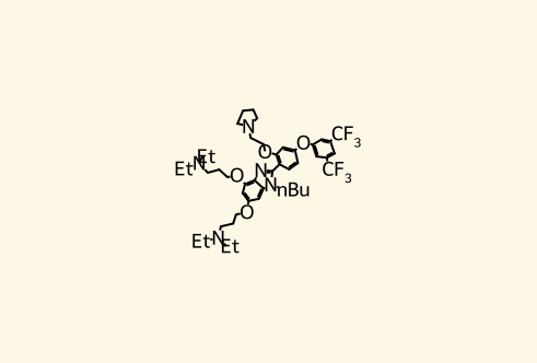 CCCCn1c(-c2ccc(Oc3cc(C(F)(F)F)cc(C(F)(F)F)c3)cc2OCCN2CCCC2)nc2c(OCCCN(CC)CC)cc(OCCCN(CC)CC)cc21